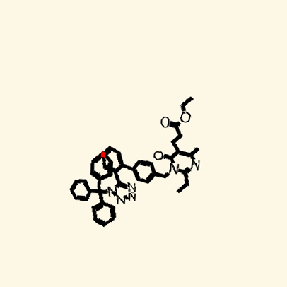 CCOC(=O)CCc1c(C)nc(CC)n(Cc2ccc(-c3ccccc3-c3nnnn3C(c3ccccc3)(c3ccccc3)c3ccccc3)cc2)c1=O